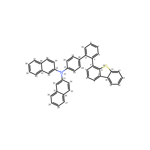 c1ccc(-c2cccc3c2sc2ccccc23)c(-c2ccc(N(c3ccc4ccccc4c3)c3ccc4ccccc4c3)cc2)c1